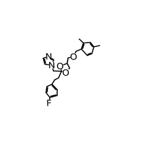 Cc1ccc(COCC2COC(CCc3ccc(F)cc3)(Cn3ccnc3)O2)c(C)c1